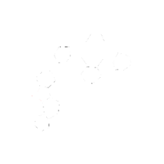 C1=CC2C(c3ccccc3)=c3ccccc3=C(c3cccc(-c4ccc5oc6c7ccccc7ccc6c5c4)c3)C2C=C1